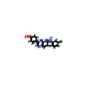 Oc1ccc(-c2cnc3ccc(Nc4cccc(F)c4)nc3n2)cc1